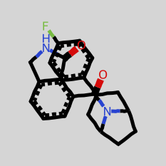 O=C1NCc2cccc(C(=O)N3C4CCC3CC(c3ccc(F)cc3)C4)c21